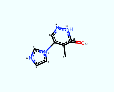 Cc1c(-n2ccnc2)cn[nH]c1=O